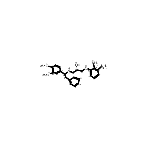 COc1ccc(C(Cc2ccccc2)NC[C@H](O)COc2cccc(N)c2N)cc1OC